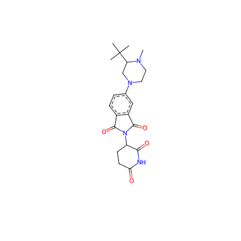 CN1CCN(c2ccc3c(c2)C(=O)N(C2CCC(=O)NC2=O)C3=O)CC1C(C)(C)C